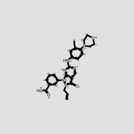 C=CCn1c(=O)c2cnc(Nc3ccc(N4CCOCC4)c(C)c3)nc2n1-c1cccc(C(=O)O)c1